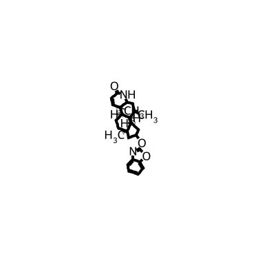 CC1CC2NC(=O)C=C[C@]2(C)[C@@H]2CC[C@]3(C)CC(Oc4nc5ccccc5o4)C[C@H]3[C@H]12